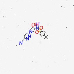 CC(C)(C)c1ccc(S(=O)(=O)N[C@@H]2CN(c3ccc(C#N)nn3)C[C@H]2O)cc1